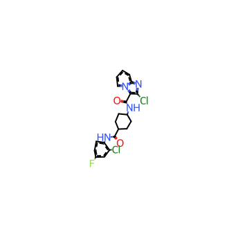 O=C(NC1CCC(C(=O)Nc2ccc(F)cc2Cl)CC1)c1c(Cl)nc2ccccn12